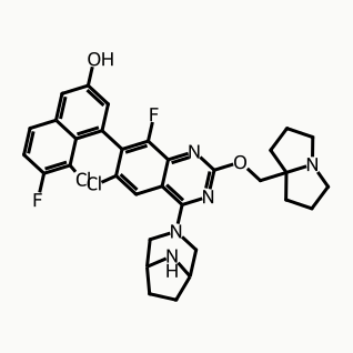 Oc1cc(-c2c(Cl)cc3c(N4CC5CCC(C4)N5)nc(OCC45CCCN4CCC5)nc3c2F)c2c(Cl)c(F)ccc2c1